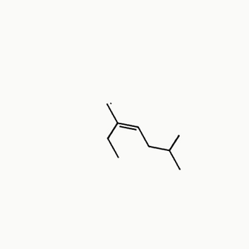 [CH2]C(=CCC(C)C)CC